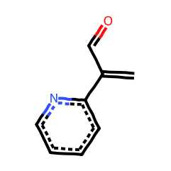 C=C(C=O)c1ccccn1